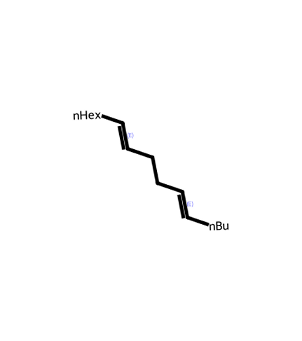 [CH2]CCCCC/C=C/CC/C=C/CCCC